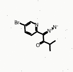 CC(C)C(=O)C(=[N+]=[N-])c1ccc(Br)cn1